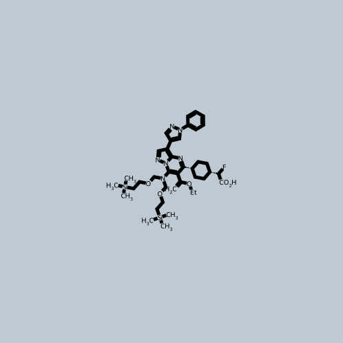 C=C(OCC)c1c(N(COCC[Si](C)(C)C)COCC[Si](C)(C)C)n2ncc(-c3cnn(-c4ccccc4)c3)c2nc1[C@H]1CC[C@@H](C(F)C(=O)O)CC1